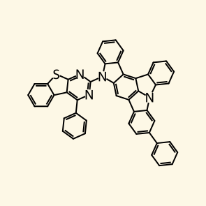 c1ccc(-c2ccc3c4cc5c(c6ccccc6n5-c5nc(-c6ccccc6)c6c(n5)sc5ccccc56)c5c6ccccc6n(c3c2)c45)cc1